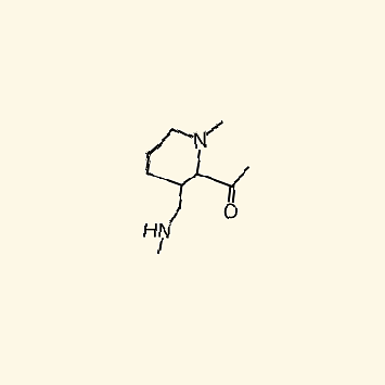 CNCC1CCCN(C)C1C(C)=O